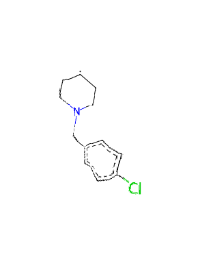 Clc1ccc(CN2CC[CH]CC2)cc1